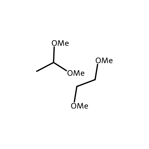 COC(C)OC.COCCOC